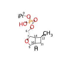 CC(C)OP(=O)(O)OC[C@H]1OC[C@@H]2C[C@H](C)C21